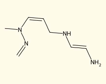 C=NN(C)/C=C\CN/C=C/N